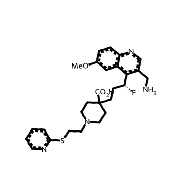 COc1ccc2ncc(CN)c([C@H](F)CCC3(C(=O)O)CCN(CCSc4ccccn4)CC3)c2c1